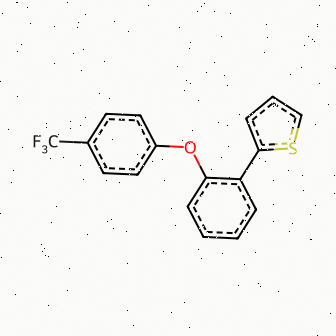 FC(F)(F)c1ccc(Oc2ccccc2-c2cccs2)cc1